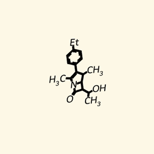 CCc1ccc(C2=C(C)N3C(=O)C(C(C)O)C3C2C)cc1